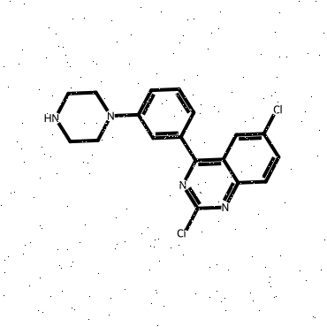 Clc1ccc2nc(Cl)nc(-c3cccc(N4CCNCC4)c3)c2c1